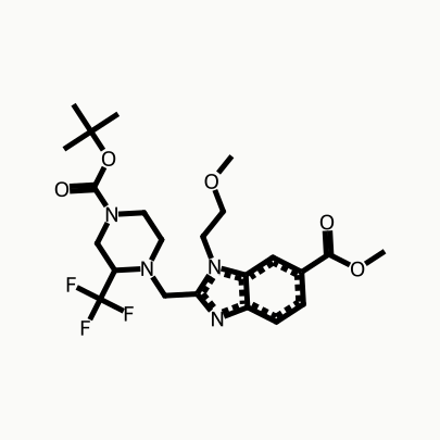 COCCn1c(CN2CCN(C(=O)OC(C)(C)C)CC2C(F)(F)F)nc2ccc(C(=O)OC)cc21